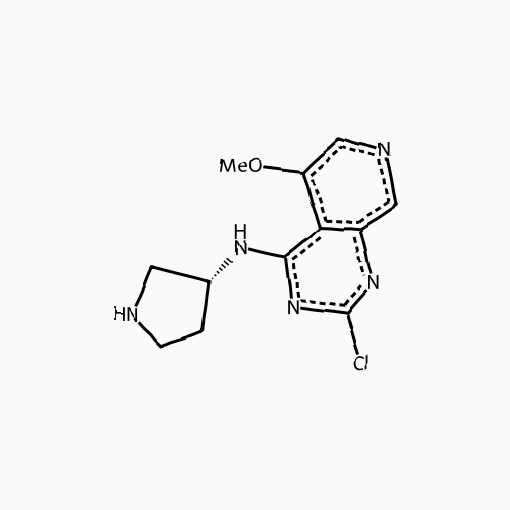 COc1cncc2nc(Cl)nc(N[C@@H]3CCNC3)c12